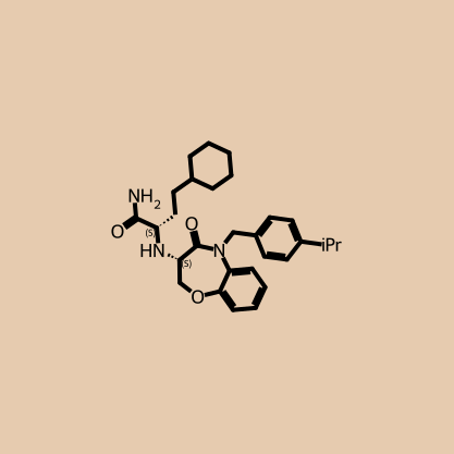 CC(C)c1ccc(CN2C(=O)[C@@H](N[C@@H](CCC3CCCCC3)C(N)=O)COc3ccccc32)cc1